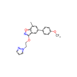 Cc1cc(-c2ccc(OC(F)(F)F)cc2)cc2c(OCCn3cccn3)noc12